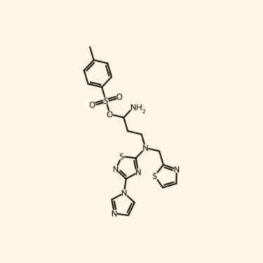 Cc1ccc(S(=O)(=O)OC(N)CCN(Cc2nccs2)c2nc(-n3ccnc3)ns2)cc1